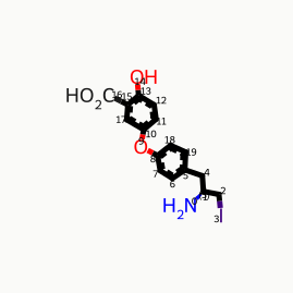 N[C@H](CI)Cc1ccc(Oc2ccc(O)c(C(=O)O)c2)cc1